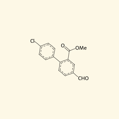 COC(=O)c1cc(C=O)ccc1-c1ccc(Cl)cc1